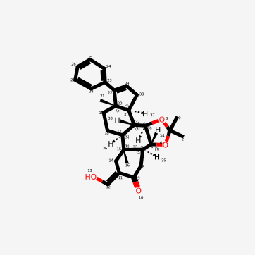 CC1(C)O[C@H]2[C@H](O1)[C@H]1CC(=O)C(=CO)C[C@]1(C)[C@H]1CC[C@]3(C)C(c4ccccc4)=CC[C@H]3[C@H]21